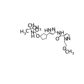 COCCn1nccc1C(=O)Nc1cc(C2CCC(OC(=O)NC(C)(C)C)C2)[nH]n1